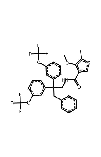 COc1c(C(=O)NCC(Cc2ccccc2)(c2cccc(OC(F)(F)F)c2)c2cccc(OC(F)(F)F)c2)csc1C